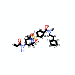 C=CC(=O)NC1CC(C)(C)N(S(=O)(=O)c2ccc(C(=O)N(C)CCc3ccccc3)cc2)C(C)(C)C1